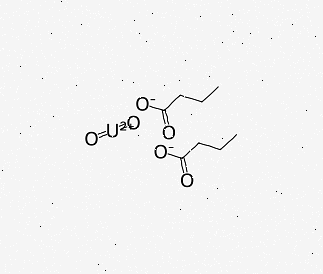 CCCC(=O)[O-].CCCC(=O)[O-].[O]=[U+2]=[O]